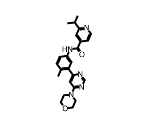 Cc1ccc(NC(=O)c2ccnc(C(C)C)c2)cc1-c1cc(N2CCOCC2)ncn1